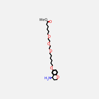 COC(=O)CCCCCOCCOCCOCCCCCCOc1ccc2c(c1)C(N)CCO2